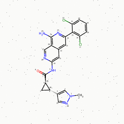 Cn1cc([C@@H]2C[C@H]2C(=O)Nc2cc3cc(-c4c(Cl)cccc4Cl)nc(N)c3cn2)cn1